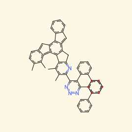 Cc1ccc2c(c1C)=c1c(c3c(c4c1-c1c(nc(-c5nnnc(-c6ccccc6-c6ccccc6)c5-c5ccccc5-c5ccccc5)c(C)c1C)C4)=Cc1ccccc1-3)C=2